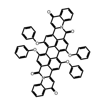 O=c1cc2c3cc(Oc4ccccc4)c4c5c(Oc6ccccc6)cc6c(=O)n7c8ccccc8c(=O)cc7c7cc(Oc8ccccc8)c(c8c(Oc9ccccc9)cc(c(=O)n2c2ccccc12)c3c84)c5c67